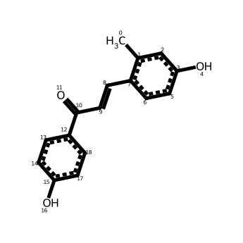 Cc1cc(O)ccc1/C=C/C(=O)c1ccc(O)cc1